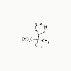 CCOC(=O)C(C)(C)c1cncnc1